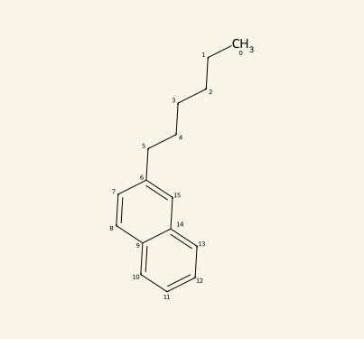 CCCCCCc1ccc2ccccc2c1